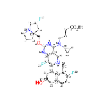 CCOC(=O)CCCN(c1nc(OC[C@@]23CCCN2C[C@H](F)C3)nc2c(F)c(-c3cc(O)cc4ccc(F)c(CC)c34)ncc12)C1CC1